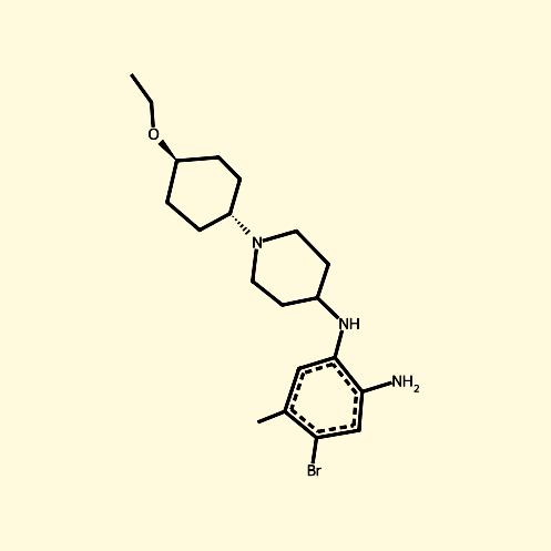 CCO[C@H]1CC[C@H](N2CCC(Nc3cc(C)c(Br)cc3N)CC2)CC1